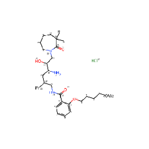 COCCCCOc1ccccc1C(=O)NCC(CC(N)C(O)CN1CCCCC(C)(C)C1=O)C(C)C.Cl